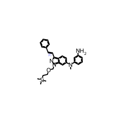 CN(c1cccc(N)c1)c1ccc2c(/C=C/c3ccccc3)nn(COCC[Si](C)(C)C)c2c1